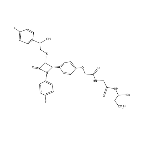 CC(C)(C)C(CC(=O)O)NC(=O)CNC(=O)COc1ccc([C@@H]2[C@@H](SCC(O)c3ccc(F)cc3)C(=O)N2c2ccc(F)cc2)cc1